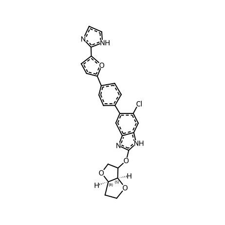 Clc1cc2[nH]c(OC3CO[C@@H]4CCO[C@H]34)nc2cc1-c1ccc(-c2ccc(-c3ncc[nH]3)o2)cc1